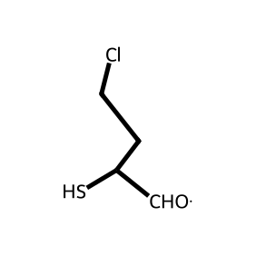 O=[C]C(S)CCCl